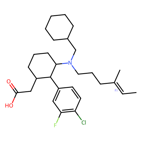 C/C=C(\C)CCCN(CC1CCCCC1)C1CCCC(CC(=O)O)C1c1ccc(Cl)c(F)c1